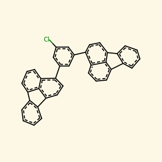 Clc1cc(-c2ccc3c4c(cccc24)-c2ccccc2-3)cc(-c2ccc3c4c(cccc24)-c2ccccc2-3)c1